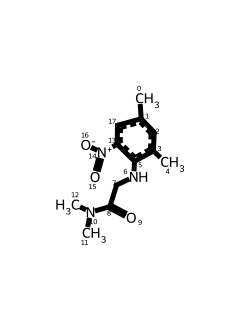 Cc1cc(C)c(NCC(=O)N(C)C)c([N+](=O)[O-])c1